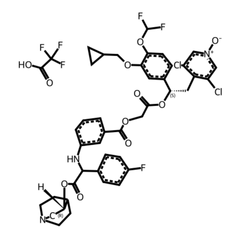 O=C(COC(=O)c1cccc(NC(C(=O)O[C@H]2CN3CCC2CC3)c2ccc(F)cc2)c1)O[C@@H](Cc1c(Cl)c[n+]([O-])cc1Cl)c1ccc(OC(F)F)c(OCC2CC2)c1.O=C(O)C(F)(F)F